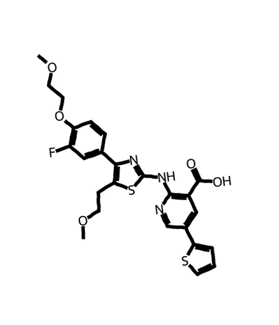 COCCOc1ccc(-c2nc(Nc3ncc(-c4cccs4)cc3C(=O)O)sc2CCOC)cc1F